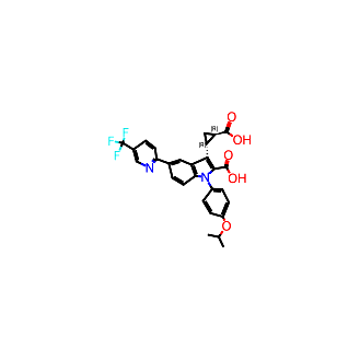 CC(C)Oc1ccc(-n2c(C(=O)O)c([C@@H]3C[C@H]3C(=O)O)c3cc(-c4ccc(C(F)(F)F)cn4)ccc32)cc1